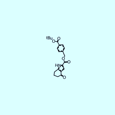 CC(C)(C)OC(=O)c1ccc(COC(=O)c2cc3c([nH]2)CCCC3=O)cc1